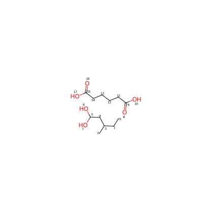 CCC(C)CC(O)O.O=C(O)CCCCC(=O)O